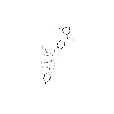 CNc1cccc([C@H](C)c2ccc([C@@H]3OC[C@@H]4C[C@H]5[C@@H]6C[C@H](F)C7=CC(=O)C=C[C@]7(C)[C@@]6(F)[C@@H](O)C[C@]5(C)[C@]4(C(=O)CO)O3)cc2)c1